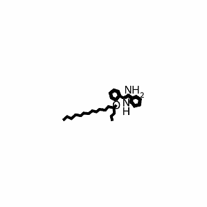 CCCCCCCCCCCCC(CCC)Oc1ccccc1-c1[nH]c2ccccc2c1N